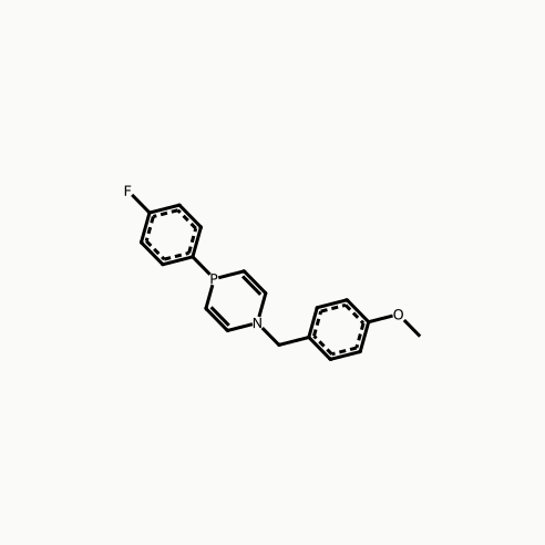 COc1ccc(CN2C=CP(c3ccc(F)cc3)C=C2)cc1